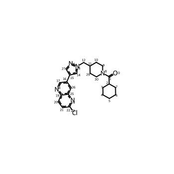 O=C(C1CCCCC1)N1CCC(Cn2cc(-c3cnc4ccc(Cl)nc4c3)cn2)CC1